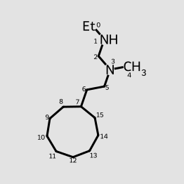 CCNCN(C)CCC1CCCCCCCC1